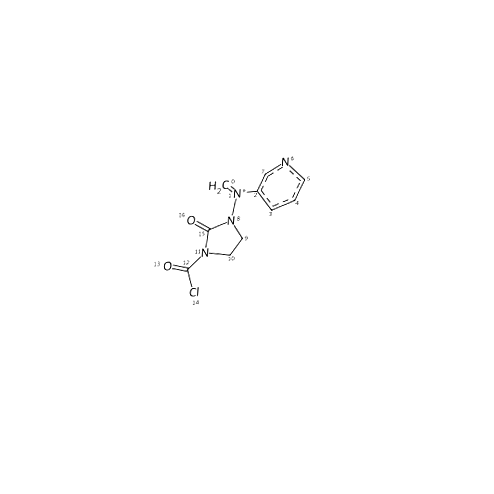 C=[N+](c1cccnc1)N1CCN(C(=O)Cl)C1=O